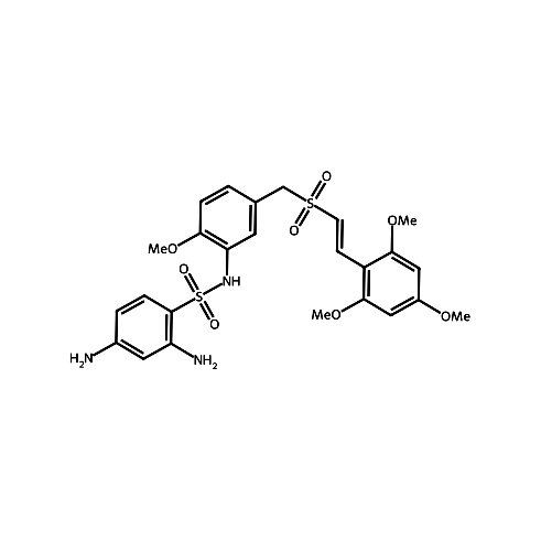 COc1cc(OC)c(/C=C/S(=O)(=O)Cc2ccc(OC)c(NS(=O)(=O)c3ccc(N)cc3N)c2)c(OC)c1